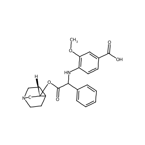 COc1cc(C(=O)O)ccc1NC(C(=O)O[C@H]1CN2CCC1CC2)c1ccccc1